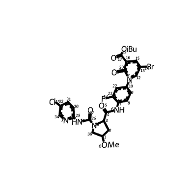 COC1CC(C(=O)Nc2ccc(-n3cc(Br)cc(C(=O)OCC(C)C)c3=O)cc2F)N(C(=O)Nc2ccc(Cl)cn2)C1